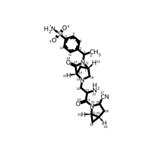 CC(c1ccc(S(N)(=O)=O)cc1)N1C(=O)[C@@H]2C[C@H]1CN2CC(N)C(=O)N1C(C#N)C[C@@H]2C[C@@H]21